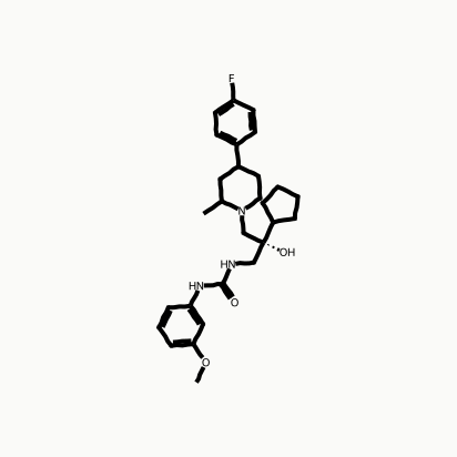 COc1cccc(NC(=O)NC[C@@](O)(CN2CCC(c3ccc(F)cc3)CC2C)C2CCCC2)c1